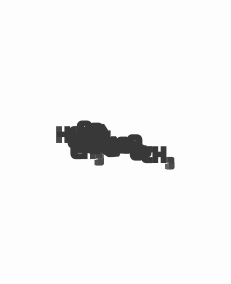 CCOC(=O)COc1cccc(N2CCOC(C(OC(C)=O)C(=O)O)C2=O)c1